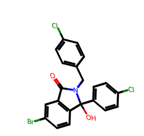 O=C1c2cc(Br)ccc2C(O)(c2ccc(Cl)cc2)N1Cc1ccc(Cl)cc1